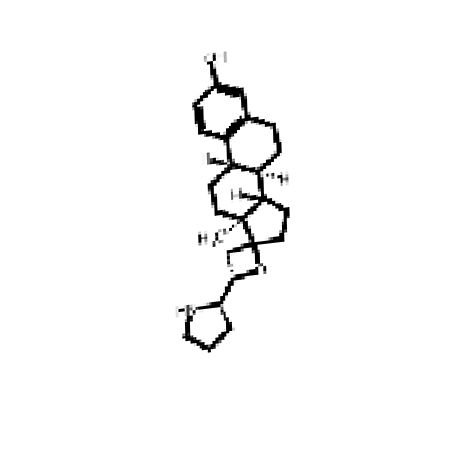 C[C@]12CC[C@@H]3c4ccc(O)cc4CC[C@H]3[C@@H]1CC[C@@]21C[C@@H]([C@H]2CCCN2)O1